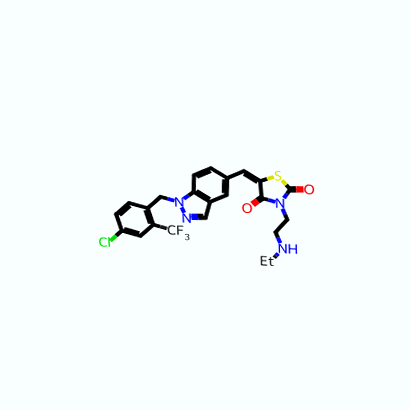 CCNCCN1C(=O)SC(=Cc2ccc3c(cnn3Cc3ccc(Cl)cc3C(F)(F)F)c2)C1=O